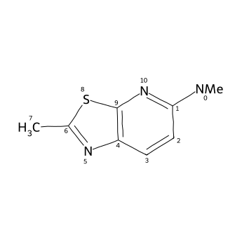 CNc1ccc2nc(C)sc2n1